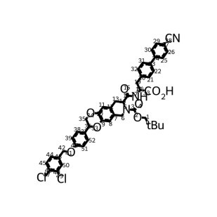 CC(C)(C)COC(=O)N1Cc2cc3c(cc2CC1C(=O)N[C@@H](Cc1ccc(-c2ccc(C#N)cc2)cc1)C(=O)O)OCC(c1ccc(OCc2ccc(Cl)c(Cl)c2)cc1)O3